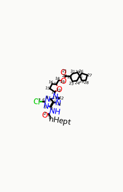 CCCCCCCC(=O)Nc1nc(Cl)nc2c1ncn2C1CCC(COC(=O)C2CCC3(CCCC3)CC2)O1